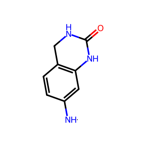 [NH]c1ccc2c(c1)NC(=O)NC2